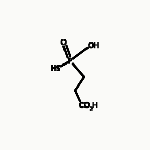 O=C(O)CCP(=O)(O)S